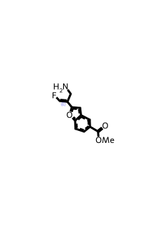 COC(=O)c1ccc2oc(/C(=C/F)CN)cc2c1